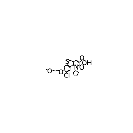 COCCCOc1cc2c(cc1Cl)-c1c(cc(C(=O)O)c(=O)n1C1CCCC1)CS2